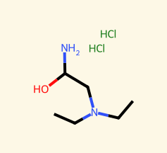 CCN(CC)CC(N)O.Cl.Cl